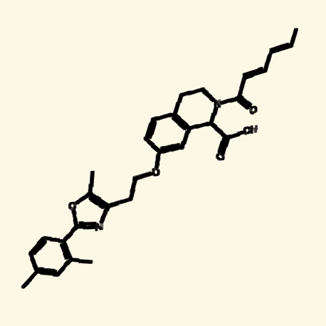 CC=CC=CC(=O)N1CCc2ccc(OCCc3nc(-c4ccc(C)cc4C)oc3C)cc2C1C(=O)O